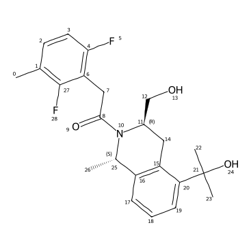 Cc1ccc(F)c(CC(=O)N2[C@@H](CO)Cc3c(cccc3C(C)(C)O)[C@@H]2C)c1F